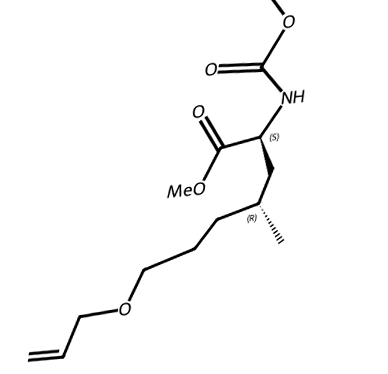 C=CCOCCC[C@@H](C)C[C@H](NC(=O)OC(C)(C)C)C(=O)OC